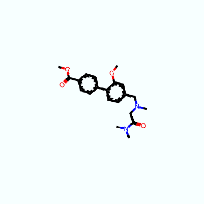 COC(=O)c1ccc(-c2ccc(CN(C)CC(=O)N(C)C)cc2OC)cc1